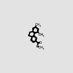 COC(=O)c1ccc2c(c1)-c1c(C)cc(C)cc1CC2